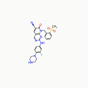 CS(=O)(=O)c1ccccc1Cn1c(=O)c(C#N)cc2cnc(Nc3ccc(N4CCNCC4)c(F)c3)nc21